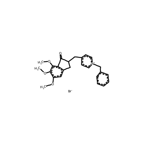 COc1cc2c(c(OC)c1OC)C(=O)C(Cc1cc[n+](Cc3ccccc3)cc1)C2.[Br-]